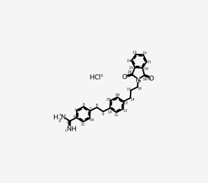 Cl.N=C(N)c1ccc(CCc2ccc(CCCN3C(=O)c4ccccc4C3=O)cc2)cc1